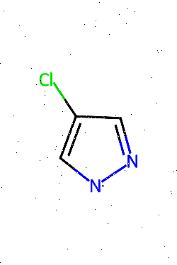 ClC1=C[N]N=C1